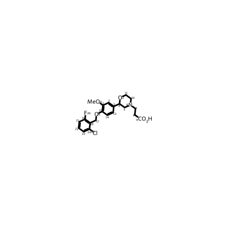 COc1cc(C2CN(CCC(=O)O)CCO2)ccc1OCc1c(F)cccc1Cl